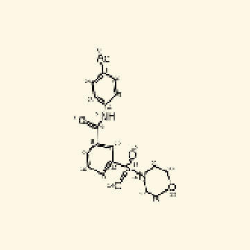 CC(=O)c1ccc(NC(=O)c2cccc(S(=O)(=O)N3CCOCC3)c2)cc1